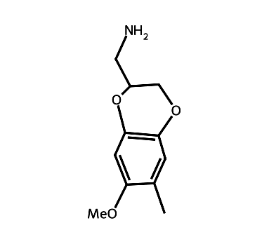 COc1cc2c(cc1C)OCC(CN)O2